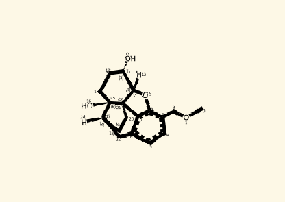 COCc1ccc2c3c1O[C@H]1[C@@H](O)CC[C@@]4(O)[C@H](CCC[C@]314)C2